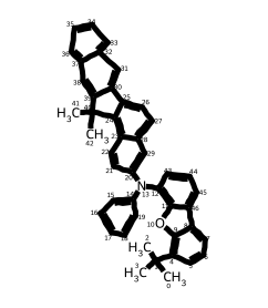 CC(C)(C)c1cccc2c1oc1c(N(c3ccccc3)c3ccc4c5c(ccc4c3)-c3cc4ccccc4cc3C5(C)C)cccc12